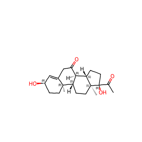 CC(=O)[C@@]1(O)CC[C@H]2[C@@H]3C(=O)CC4=C[C@H](O)CC[C@]4(C)[C@H]3CC[C@@]21C